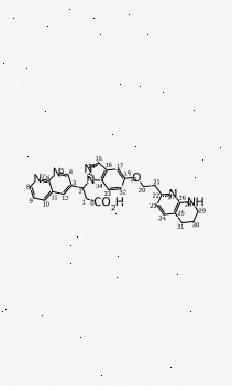 O=C(O)CC(c1cnc2ncccc2c1)n1ncc2cc(OCCc3ccc4c(n3)NCCC4)ccc21